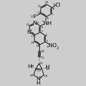 O=[N+]([O-])c1cc2c(Nc3cc(Cl)ccc3F)ncnc2cc1C#C[C@@H]1[C@H]2CNC[C@@H]12